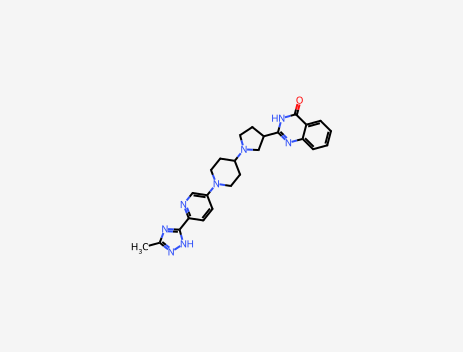 Cc1n[nH]c(-c2ccc(N3CCC(N4CCC(c5nc6ccccc6c(=O)[nH]5)C4)CC3)cn2)n1